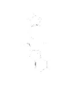 Cl.O=C(NCc1nn[nH]n1)[C@@H]1Cc2ccccc2N1